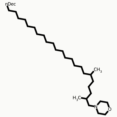 CCCCCCCCCCCCCCCCCCCCCCCCCCCC(C)CCCC(C)CN1CCOCC1